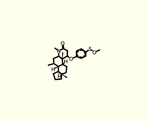 COSc1ccc(OC2CC(=O)N(C)C3CC(C)[C@@H]4[C@@H](CC[C@]5(C)CCC[C@@H]45)[C@@]23C)cc1